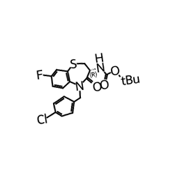 CC(C)(C)OC(=O)N[C@H]1CSc2cc(F)ccc2N(Cc2ccc(Cl)cc2)C1=O